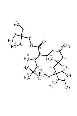 CC(CCC(C(=O)OCC(CO)(CO)CO)C(C)CC(C)(C)C)CC(C)(C)CC(CO)(CO)C(C)CO